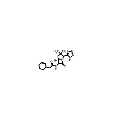 CC1(C)S[C@H]2C(NC(=O)CC3C=CCCC3)C(=O)N2C1c1nnn[nH]1